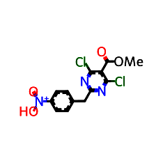 COC(=O)c1c(Cl)nc(Cc2ccc([N+](=O)O)cc2)nc1Cl